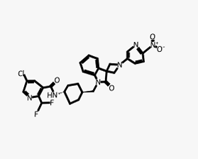 O=C(N[C@H]1CC[C@H](CN2C(=O)C3(CN(c4ccc([N+](=O)[O-])nc4)C3)c3ccccc32)CC1)c1cc(Cl)cnc1C(F)F